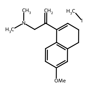 C=C(CN(C)C)C1=CCCc2cc(OC)ccc21.CI